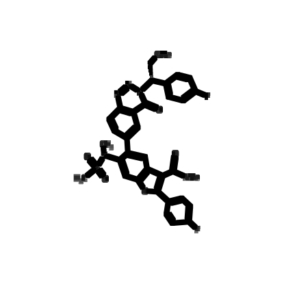 CNC(=O)c1c(-c2ccc(F)cc2)oc2cc(N(C)S(C)(=O)=O)c(-c3ccc4nnn([C@H](COC)c5ccc(F)cc5)c(=O)c4c3)cc12